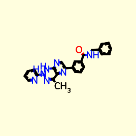 CC(=NNc1ccccn1)c1nc(-c2cccc(C(=O)NCc3ccccc3)c2)cnc1N